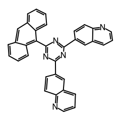 c1cnc2ccc(-c3nc(-c4ccc5ncccc5c4)nc(-c4c5ccccc5cc5ccccc45)n3)cc2c1